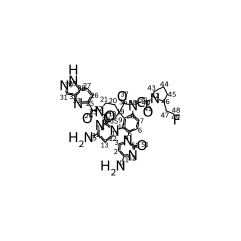 Nc1ccn(-c2ccc3c(c2-n2ccc(N)nc2=O)C2(CCN(C(=O)c4ccc5[nH]ncc5n4)CC2)C(=O)N3CC(=O)N2CCCC2CCF)c(=O)n1